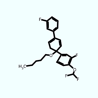 CCCCCOC1(c2ccc(OC(F)F)c(F)c2)C=CC(c2cccc(F)c2)=CC1